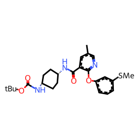 CSc1cccc(Oc2ncc(C)cc2C(=O)N[C@H]2CC[C@@H](NC(=O)OC(C)(C)C)CC2)c1